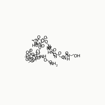 C=C1C[C@H]2C(O)N(C(=O)OCc3ccc(O[C@@H]4O[C@H](C(=O)OC)[C@@H](OC(C)=O)[C@H](OC(C)=O)[C@H]4OC(C)=O)c(C(=O)NCCOCCON)c3)c3cc(OCCn4cc(C(=O)Nc5cc(C(=O)Cc6cc(C(=O)NCCCO)n(C)c6)n(C)c5)nn4)c(OC)cc3C(=O)N2C1